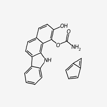 NC(=O)Oc1c(O)ccc2ccc3c4ccccc4[nH]c3c12.c1cc2cc-2c1